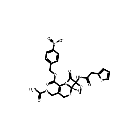 COC1(NC(=O)Cc2cccs2)C(=O)N2C(C(=O)OCc3ccc([N+](=O)[O-])cc3)=C(COC(N)=O)CS[C@H]21